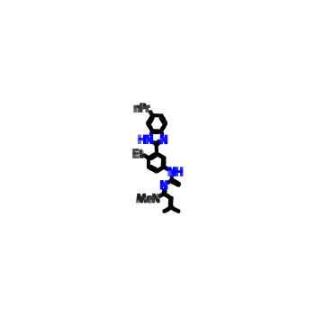 C=C(/N=C(\C=C(C)C)NC)Nc1ccc(CC)c(-c2nc3ccc(CCC)cc3[nH]2)c1